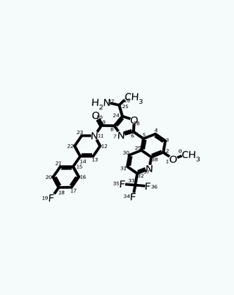 COc1ccc(-c2nc(C(=O)N3CC=C(c4ccc(F)cc4)CC3)c(C(C)N)o2)c2ccc(C(F)(F)F)nc12